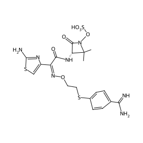 CC1(C)[C@H](NC(=O)/C(=N\OCCSc2ccc(C(=N)N)cc2)c2csc(N)n2)C(=O)N1OS(=O)(=O)O